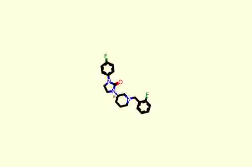 O=C1N(c2ccc(F)cc2)CCN1[C@@H]1CCCN(Cc2ccccc2F)C1